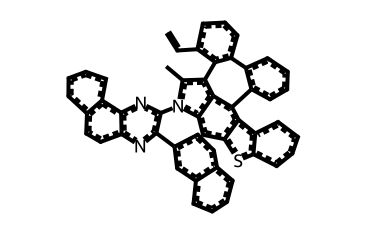 C=Cc1cccc2c1-c1c(C)n(-c3nc4c(ccc5ccccc54)nc3-c3ccc4ccccc4c3)c3cc4sc5ccccc5c4c(c13)-c1ccccc1-2